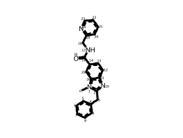 Cn1c(Cc2ccccc2)nc2ccc(C(=O)NCc3ccccn3)cc21